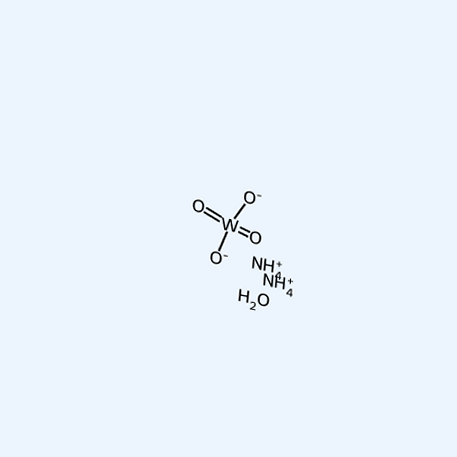 O.[NH4+].[NH4+].[O]=[W](=[O])([O-])[O-]